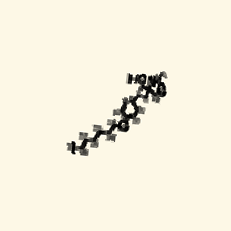 CC1=NC(CO)(CCc2ccc(OCCCCC=CI)cc2)CO1